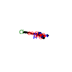 O=C(NCCOCCOCCCCCCCl)c1cc2ccc(N3C(=O)c4ccccc4C34c3ccc(N5CCC5)cc3Oc3cc(N5CCC5)ccc34)cc2oc1=O